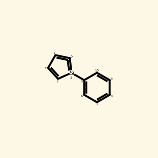 C1=CC=C[Si]=1c1ccccc1